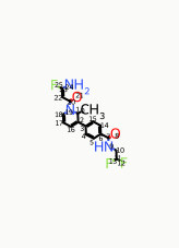 CC1C(c2ccc(C(=O)NCC(F)F)cc2)=CC=CN1C(=O)/C=C(\N)F